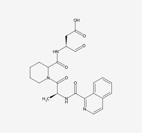 C[C@H](NC(=O)c1nccc2ccccc12)C(=O)N1CCCCC1C(=O)N[C@H](C=O)CC(=O)O